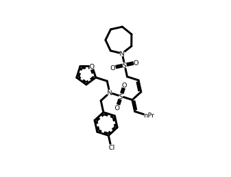 CCC/C=C(\C=C/CS(=O)(=O)N1CCCCCC1)S(=O)(=O)N(Cc1ccc(Cl)cc1)Cc1ccco1